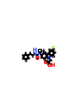 CN(C(=O)NCCc1ccccc1)[C@@H]1CCc2c(c3cc(F)ccc3n2CC(=O)O)C1